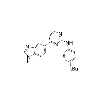 CC(C)(C)c1ccc(Nc2nccc(-c3ccc4[nH]cnc4c3)n2)cc1